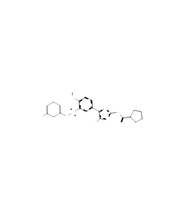 COc1ccc(-c2sc(NC(=O)C3CCCC3)nc2C)cc1S(=O)(=O)NC1CCCC(O)C1